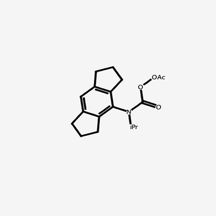 CC(=O)OOC(=O)N(c1c2c(cc3c1CCC3)CCC2)C(C)C